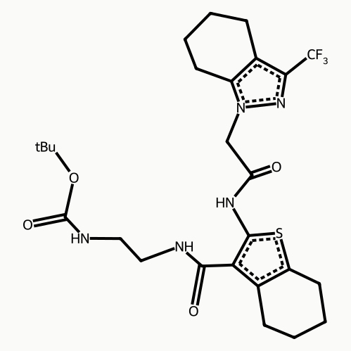 CC(C)(C)OC(=O)NCCNC(=O)c1c(NC(=O)Cn2nc(C(F)(F)F)c3c2CCCC3)sc2c1CCCC2